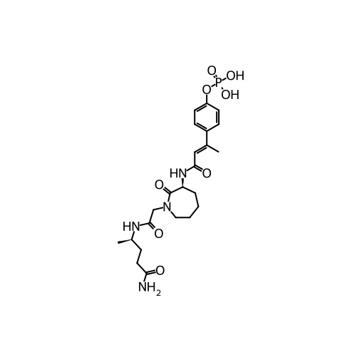 C/C(=C\C(=O)N[C@H]1CCCCN(CC(=O)N[C@H](C)CCC(N)=O)C1=O)c1ccc(OP(=O)(O)O)cc1